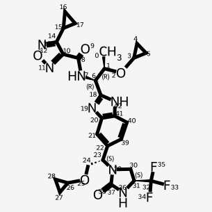 C[C@@H](OC1CC1)[C@H](NC(=O)c1nonc1C1CC1)c1nc2cc([C@@H](COC3CC3)N3C[C@@H](C(F)(F)F)NC3=O)ccc2[nH]1